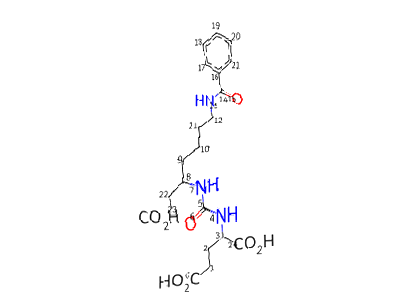 O=C(O)CCC(NC(=O)NC(CCCCNC(=O)c1ccccc1)CC(=O)O)C(=O)O